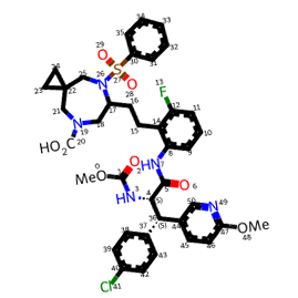 COC(=O)N[C@H](C(=O)Nc1cccc(F)c1CCC1CN(C(=O)O)CC2(CC2)CN1S(=O)(=O)c1ccccc1)[C@@H](c1ccc(Cl)cc1)c1ccc(OC)nc1